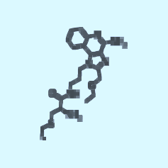 [CH2]CSC[C@H](N)C(=O)NCCCn1c(COCC)nc2c(N)nc3ccccc3c21